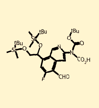 CC(C)(C)OC(=O)N(C(=O)O)c1cc2c(C=O)c(F)cc(C(CO[Si](C)(C)C(C)(C)C)O[Si](C)(C)C(C)(C)C)c2cn1